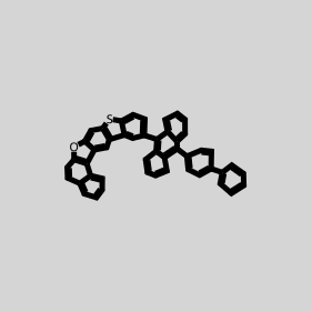 c1ccc(-c2ccc(-c3c4ccccc4c(-c4ccc5sc6cc7oc8ccc9ccccc9c8c7cc6c5c4)c4ccccc34)cc2)cc1